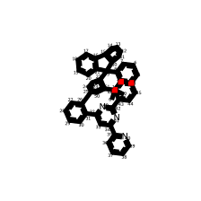 CC1(C)c2ccccc2C2(c3ccccc3-c3ccccc32)c2ccc(-c3ccccc3-c3cc(-c4ccccn4)nc(-c4ccccc4)n3)cc21